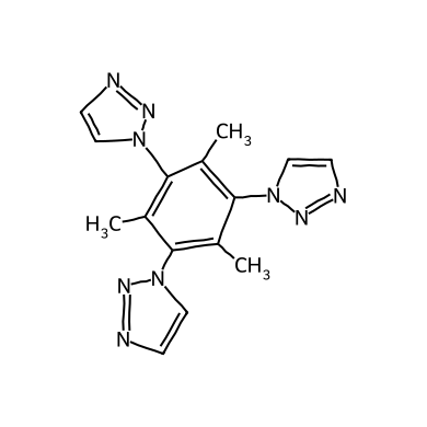 Cc1c(-n2ccnn2)c(C)c(-n2ccnn2)c(C)c1-n1ccnn1